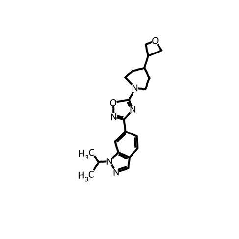 CC(C)n1ncc2ccc(-c3noc(N4CCC(C5COC5)CC4)n3)cc21